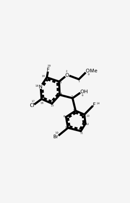 COCOc1c(C(O)c2cc(Br)ccc2F)cc(Cl)nc1F